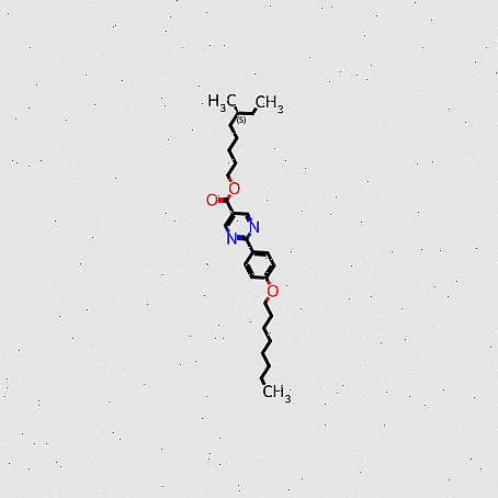 CCCCCCCCOc1ccc(-c2ncc(C(=O)OCCCCC[C@@H](C)CC)cn2)cc1